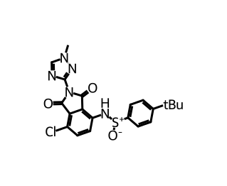 Cn1cnc(N2C(=O)c3c(Cl)ccc(N[S+]([O-])c4ccc(C(C)(C)C)cc4)c3C2=O)n1